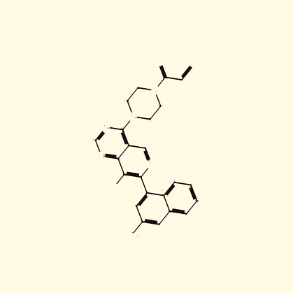 C=CC(=O)N1CCN(c2ncnc3c(F)c(-c4cc(Cl)cc5ccccc45)ncc23)CC1